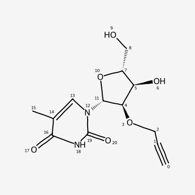 C#CCO[C@@H]1[C@H](O)[C@@H](CO)O[C@H]1n1cc(C)c(=O)[nH]c1=O